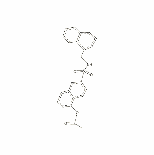 CC(=O)Oc1cccc2cc(S(=O)(=O)NCc3cccc4ccccc34)ccc12